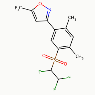 Cc1cc(C)c(S(=O)(=O)C(F)C(F)F)cc1-c1cc(C(F)(F)F)on1